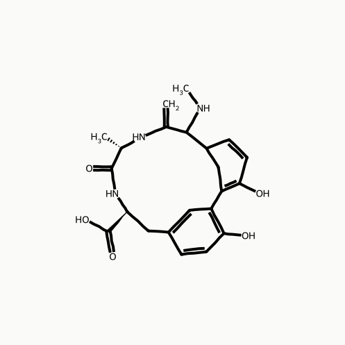 C=C1N[C@@H](C)C(=O)N[C@H](C(=O)O)Cc2ccc(O)c(c2)C2=C(O)C=CC(C2)C1NC